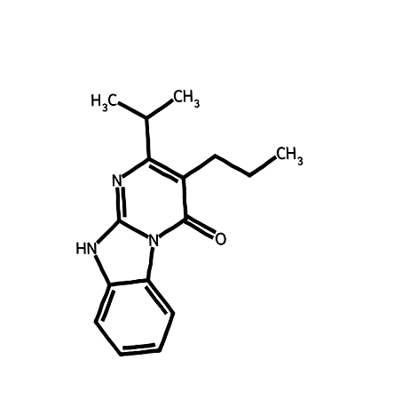 CCCc1c(C(C)C)nc2[nH]c3ccccc3n2c1=O